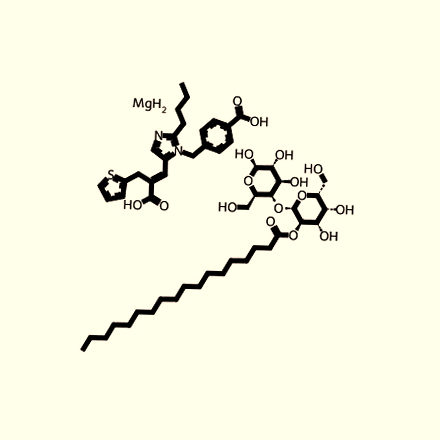 CCCCCCCCCCCCCCCCCC(=O)O[C@H]1[C@H](O[C@H]2[C@H](O)[C@@H](O)[C@H](O)O[C@@H]2CO)O[C@H](CO)[C@H](O)[C@@H]1O.CCCCc1ncc(/C=C(\Cc2cccs2)C(=O)O)n1Cc1ccc(C(=O)O)cc1.[MgH2]